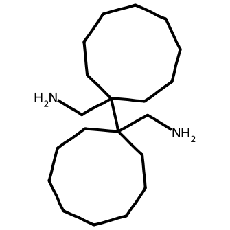 NCC1(C2(CN)CCCCCCCC2)CCCCCCCC1